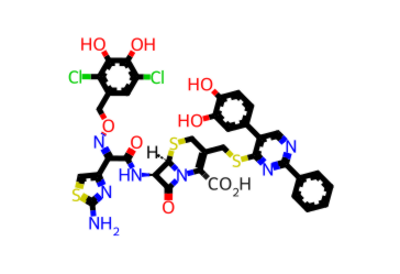 Nc1nc(/C(=N/OCc2cc(Cl)c(O)c(O)c2Cl)C(=O)N[C@@H]2C(=O)N3C(C(=O)O)=C(CSc4nc(-c5ccccc5)ncc4-c4ccc(O)c(O)c4)CS[C@H]23)cs1